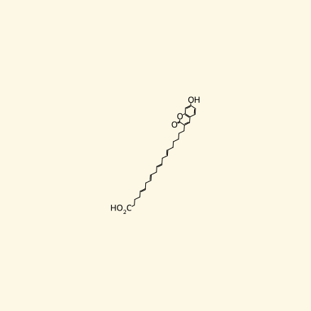 O=C(O)CCCC=CCC=CCC=CCC=CCCCCCc1cc2ccc(O)cc2oc1=O